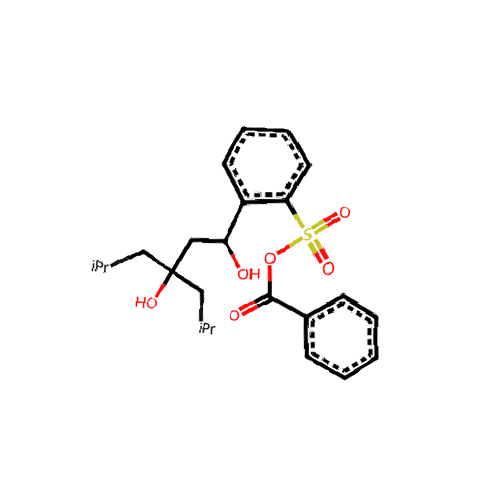 CC(C)CC(O)(CC(C)C)CC(O)c1ccccc1S(=O)(=O)OC(=O)c1ccccc1